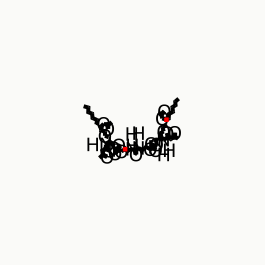 CCCCCCC[C@H](CCOC[C@H](COP(=O)(O)OCCNC(=O)NCCOP(=O)(O)OC[C@@H](COCC[C@@H](CCCCCCC)OC(C)=O)NC(=O)CC(C)=O)NC(=O)CC(C)=O)OC(C)=O